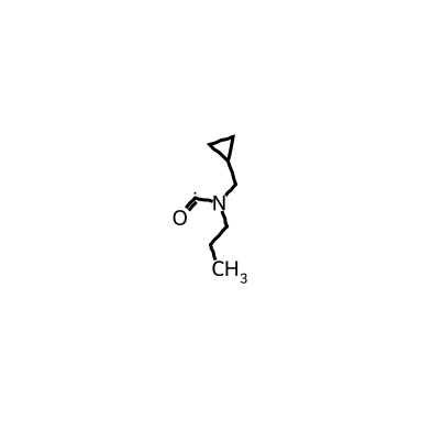 CCCN([C]=O)CC1CC1